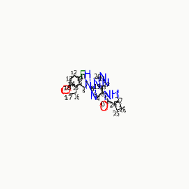 O=C(Nc1cnc(NCc2c(F)ccc3c2CCO3)n2cnnc12)C1CCC1